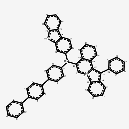 c1ccc(-c2ccc(-c3ccc(N(c4ccc5c(c4)oc4ccccc45)c4cn5c6ccccc6c(-c6ccccc6)c5c5ccccc45)cc3)cc2)cc1